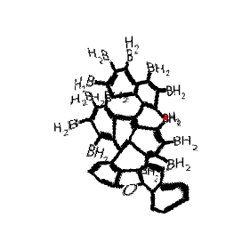 Bc1c(B)c(B)c2c(-c3c4c(B)c(B)c(B)c(B)c4c(-c4cccc5oc6c7ccccc7ccc6c45)c4c(B)c(B)c(B)c(B)c34)c(B)c(B)c(B)c2c1B